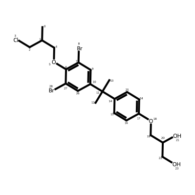 CC(CCl)COc1c(Br)cc(C(C)(C)c2ccc(OCC(O)CO)cc2)cc1Br